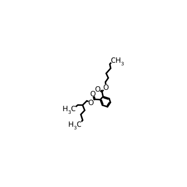 CCCCCCOC(=O)c1ccccc1C(=O)OCC(CC)CCCC